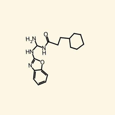 NC(NC(=O)CCC1CCCCC1)Nc1nc2ccccc2o1